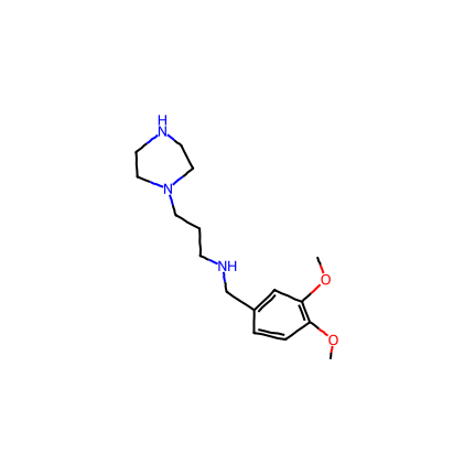 COc1ccc(CNCCCN2CCNCC2)cc1OC